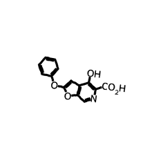 O=C(O)c1ncc2oc(Oc3ccccc3)cc2c1O